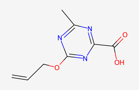 C=CCOc1nc(C)nc(C(=O)O)n1